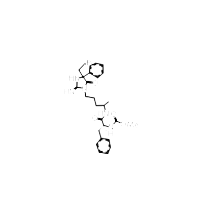 COC(=O)N[C@@H](Cc1ccccc1)C(=O)NC(C)CCCN1C(=N)NC(CC(C)C)(c2ccccc2)C1=O